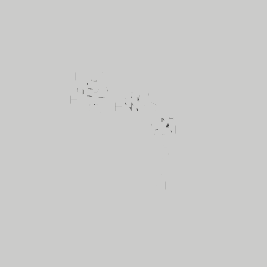 CCCCCCSCCC(=O)NN1C(=O)CC(C2C=C(C)C3C(=O)N(NC(=O)CCc4cc(C(C)(C)C)c(O)c(C(C)(C)C)c4)C(=O)C3C2)C1=O